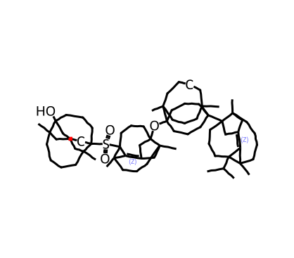 CC(C)C12CCCC3(C45CCCC(OC67CCCC8(S(=O)(=O)C9%10CCCC(O)(CCC9)C9(C)CCCCC%10(C)CCC9)/C9=C(/CC6(C)CCCC98C)C7)(CCC4)C4(C)CCCCC5(C)CCC4)C/C4=C\1C2(C)CCCCC3(C)C4